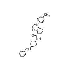 Cc1ccc(N2CCOc3c(C(=O)N[C@H]4CC[C@H](OCc5ccccc5)CC4)cccc32)nc1